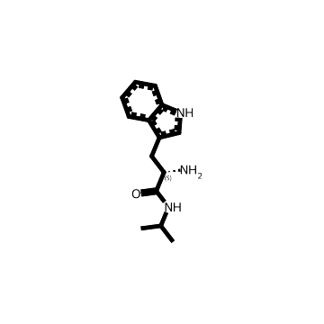 CC(C)NC(=O)[C@@H](N)Cc1c[nH]c2ccccc12